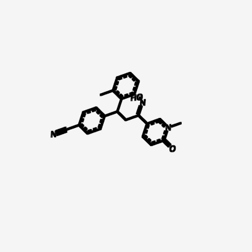 Cc1ccccc1C(C/C(=N\O)c1ccc(=O)n(C)c1)c1ccc(C#N)cc1